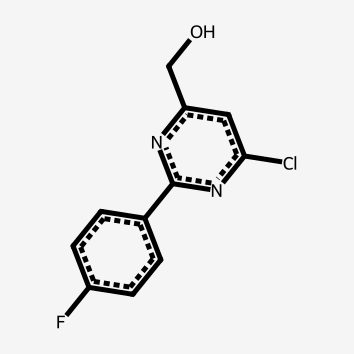 OCc1cc(Cl)nc(-c2ccc(F)cc2)n1